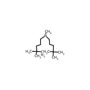 CN(CCCC(C)(C)C)CCCC(C)(C)C